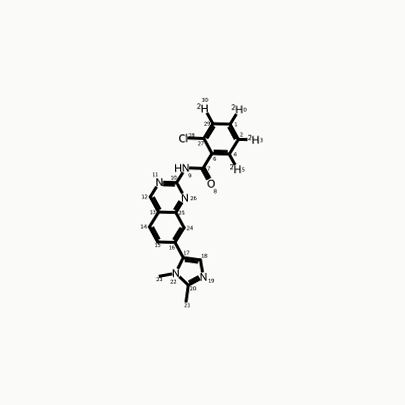 [2H]c1c([2H])c([2H])c(C(=O)Nc2ncc3ccc(-c4cnc(C)n4C)cc3n2)c(Cl)c1[2H]